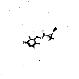 C#C[C@@H]1[C@@H](C(=O)OCc2c(F)c(F)cc(F)c2F)C1(C)C